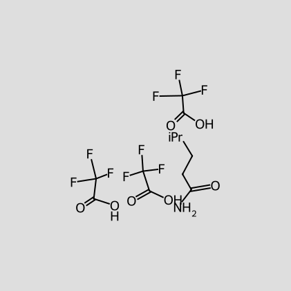 CC(C)CCC(N)=O.O=C(O)C(F)(F)F.O=C(O)C(F)(F)F.O=C(O)C(F)(F)F